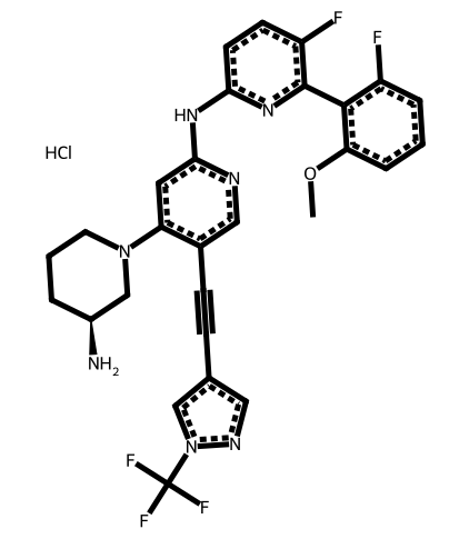 COc1cccc(F)c1-c1nc(Nc2cc(N3CCC[C@H](N)C3)c(C#Cc3cnn(C(F)(F)F)c3)cn2)ccc1F.Cl